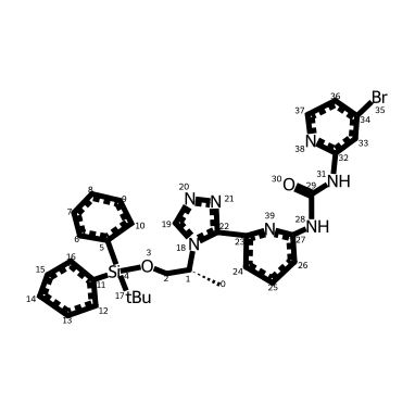 C[C@H](CO[Si](c1ccccc1)(c1ccccc1)C(C)(C)C)n1cnnc1-c1cccc(NC(=O)Nc2cc(Br)ccn2)n1